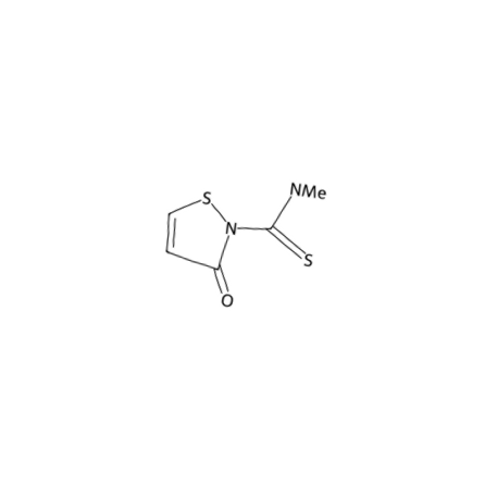 CNC(=S)n1sccc1=O